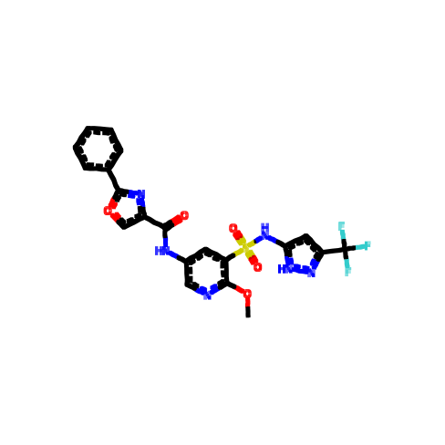 COc1ncc(NC(=O)c2coc(-c3ccccc3)n2)cc1S(=O)(=O)Nc1cc(C(F)(F)F)n[nH]1